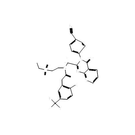 CCS(=O)(=O)CCN(C(=O)Cc1cc(C(F)(F)F)ccc1F)[C@H](C)c1nc2ncccc2c(=O)n1-c1ccc(C#N)cc1